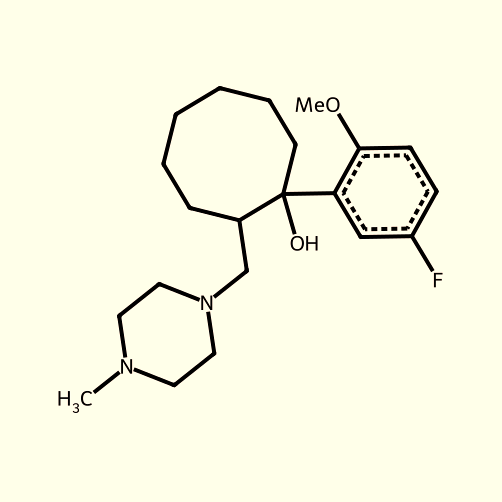 COc1ccc(F)cc1C1(O)CCCCCCC1CN1CCN(C)CC1